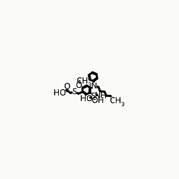 CCCCC1CN(c2ccccc2)c2cc(OC)c(CSCC(=O)O)cc2S(O)(O)N1